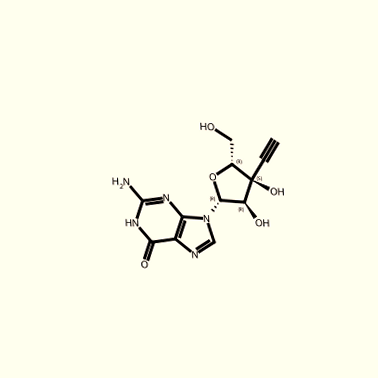 C#C[C@@]1(O)[C@@H](CO)O[C@@H](n2cnc3c(=O)[nH]c(N)nc32)[C@@H]1O